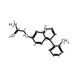 Cc1ccccc1-c1ccnc2cc(OCC(N)=O)ccc12